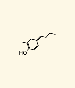 CCCC=C1C=CC(O)=C(C)C1